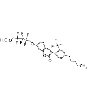 CCCCCc1ccc(-c2cc3ccc(OCC(F)(F)C(F)(F)C(F)(F)COC)cc3oc2=O)c(C(F)(F)F)c1